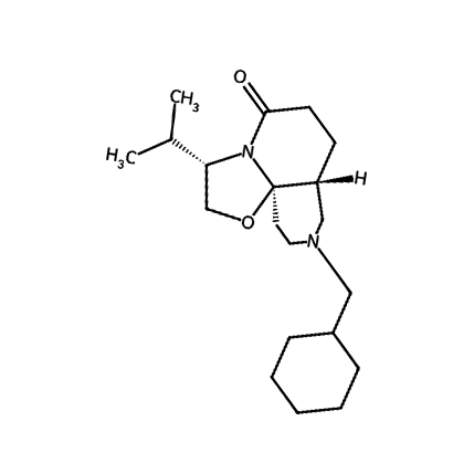 CC(C)[C@H]1CO[C@]23CCN(CC4CCCCC4)C[C@H]2CCC(=O)N13